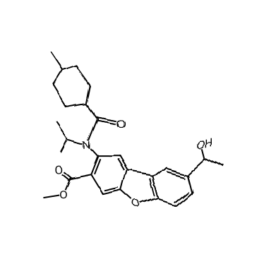 COC(=O)c1cc2oc3ccc(C(C)O)cc3c2cc1N(C(=O)C1CCC(C)CC1)C(C)C